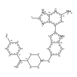 Cc1nc2c(-c3cc4cc(CN5CCC(C(=O)c6ccc(F)cc6)CC5)ccc4[nH]3)cc(N)nc2[nH]1